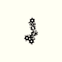 Cc1ccccc1S(=O)(=O)N1CCN(CCCCC2(C(=O)NCC(F)(F)F)c3ccccc3-c3ccccc32)CC1